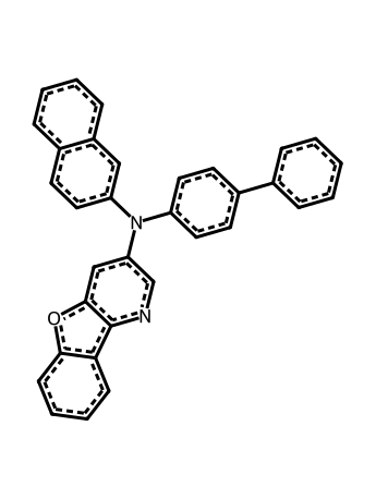 c1ccc(-c2ccc(N(c3ccc4ccccc4c3)c3cnc4c(c3)oc3ccccc34)cc2)cc1